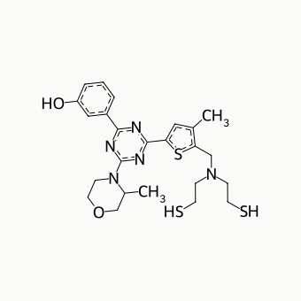 Cc1cc(-c2nc(-c3cccc(O)c3)nc(N3CCOCC3C)n2)sc1CN(CCS)CCS